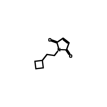 O=C1C=CC(=O)N1CCC1CCC1